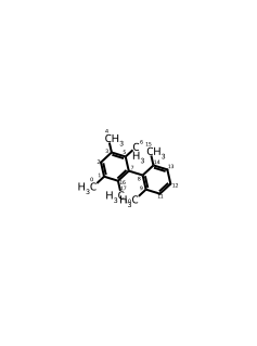 Cc1cc(C)c(C)c(-c2c(C)cccc2C)c1C